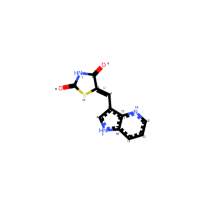 O=C1NC(=O)/C(=C/c2c[nH]c3cccnc23)S1